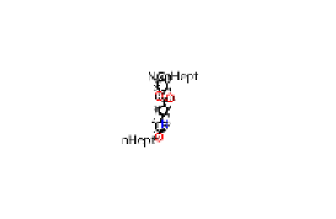 CCCCCCCOc1ccc(-c2ccc(C(=O)OC3CCC(C#N)(CCCCCCC)CC3)cc2)nc1